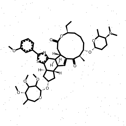 CC[C@H]1CCC[C@H](O[C@H]2CC[C@H](N(C)C)C(C)O2)[C@@H](C)C(=O)C2=C[C@H]3[C@@H]4C[C@H](O[C@@H]5OCC(C)[C@H](OC)C(OC)C5OC)C[C@H]4c4sc(-c5cccc(OC)c5)nc4[C@H]3[C@@H]2CC(=O)O1